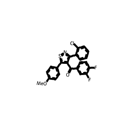 COc1ccc(-c2snc(-c3ccccc3Cl)c2C(=O)c2ccc(F)c(F)c2)cc1